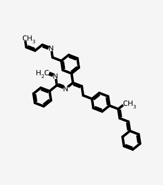 C=N/C(=N\C(=C/Cc1ccc(/C(C)=C/C=C2/C=CC=CC2)cc1)c1cccc(C/N=C\C=C/C)c1)c1ccccc1